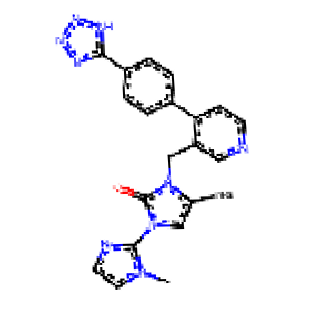 CCCCc1cn(-c2nccn2C)c(=O)n1Cc1cnccc1-c1ccc(-c2nnn[nH]2)cc1